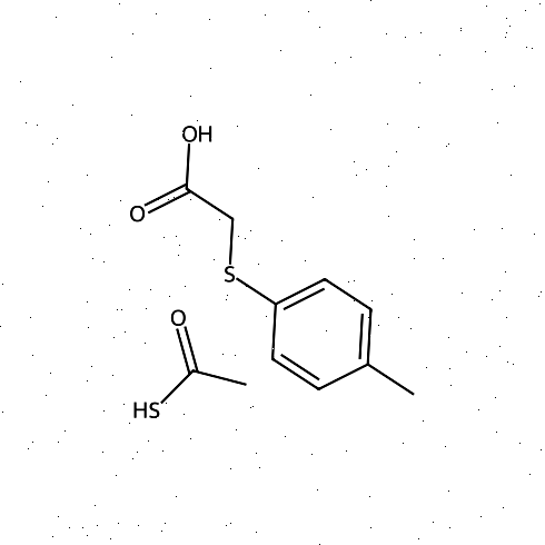 CC(=O)S.Cc1ccc(SCC(=O)O)cc1